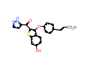 O=C(O)/C=C/c1ccc(Oc2c(C(=O)c3ccn[nH]3)sc3cc(O)ccc23)cc1